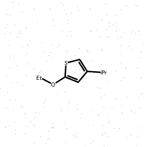 CCOc1cc(C(C)C)cs1